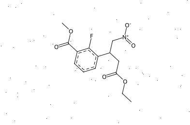 CCOC(=O)CC(C[N+](=O)[O-])c1cccc(C(=O)OC)c1F